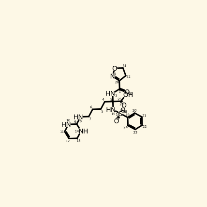 O=C(NC(CCCCNC1NC=CCN1)(NS(=O)(=O)c1ccccc1)C(=O)O)C1=NOCC1